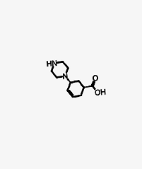 O=C(O)[C@H]1CC=C[C@@H](N2CCNCC2)C1